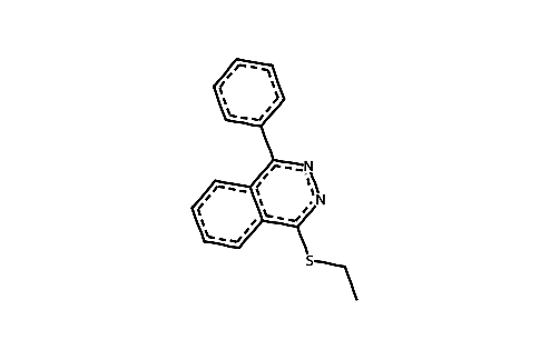 CCSc1nnc(-c2ccccc2)c2ccccc12